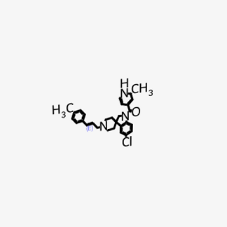 Cc1ccc(/C=C/CN2CCC3(CC2)CN(C(=O)C2=CC(C)NC=C2)c2ccc(Cl)cc23)cc1